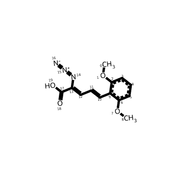 COc1cccc(OC)c1C=CC=C(N=[N+]=[N-])C(=O)O